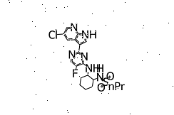 CCCS(=O)(=O)NC1CCCC[C@H]1Nc1nc(-c2c[nH]c3ncc(Cl)cc23)ncc1F